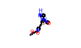 C/C=C/C(=O)CCC(=O)N1CCC(C#Cc2cc3nc(-c4cccc5[nH]ncc45)nc(N4CCOCC4)c3s2)CC1